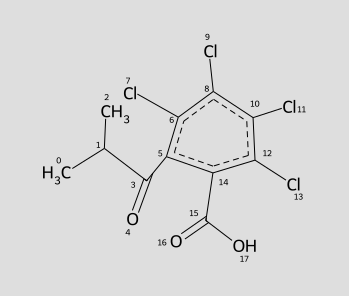 CC(C)C(=O)c1c(Cl)c(Cl)c(Cl)c(Cl)c1C(=O)O